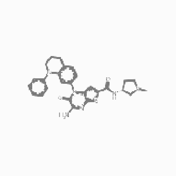 CN1CC[C@@H](NC(=O)c2cc3c(nc(N)c(=O)n3-c3ccc4c(c3)N(c3ccccc3)CCC4)s2)C1